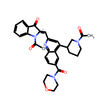 CC(=O)N1CCCC(c2cc(/C=C3/C(=O)c4ccccc4N3C(C)=O)nc3ccc(C(=O)N4CCOCC4)cc23)C1